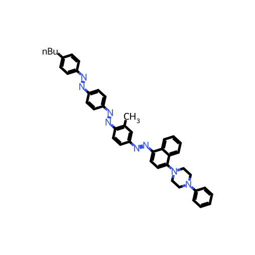 CCCCc1ccc(N=Nc2ccc(N=Nc3ccc(N=Nc4ccc(N5CCN(c6ccccc6)CC5)c5ccccc45)cc3C)cc2)cc1